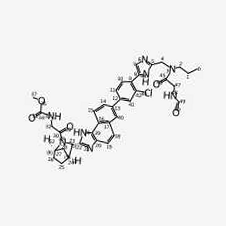 CCCN(Cc1ncc(-c2ccc(-c3ccc4c(ccc5nc([C@@H]6[C@H]7CC[C@H](C7)N6C(=O)CNC(=O)OC)[nH]c54)c3)cc2Cl)[nH]1)C(=O)CNC=O